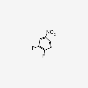 O=[N+]([O-])c1[c]cc(F)c(F)c1